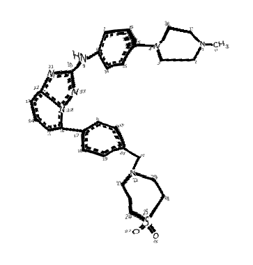 CN1CCN(c2ccc(Nc3nc4cccc(-c5ccc(CN6CCS(=O)(=O)CC6)cc5)n4n3)cc2)CC1